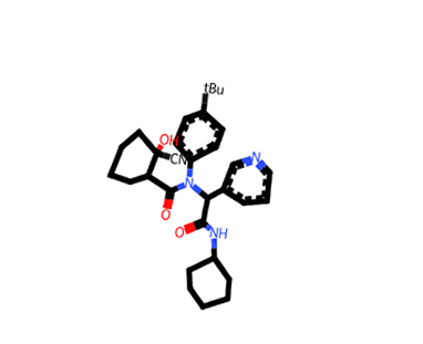 CC(C)(C)c1ccc(N(C(=O)C2CCCCC2(O)C#N)C(C(=O)NC2CCCCC2)c2cccnc2)cc1